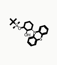 CC(C)(C)[Si](C)(C)OC1CCC[C@H](N2c3ccccc3Sc3ccccc32)[C@H]1O